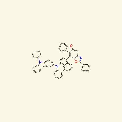 c1ccc(-c2nc3cc4oc5ccccc5c4c(-c4ccc(N(c5ccc6c(c5)c5ccccc5n6-c5ccccc5)c5ccccc5-c5ccccc5)cc4)c3o2)cc1